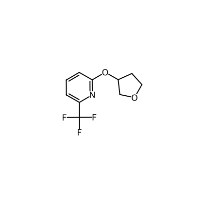 FC(F)(F)c1cccc(OC2CCOC2)n1